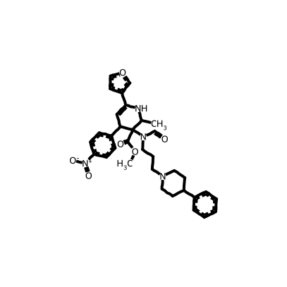 COC(=O)C1(N(C=O)CCCN2CCC(c3ccccc3)CC2)C(C)NC(c2ccoc2)=CC1c1ccc([N+](=O)[O-])cc1